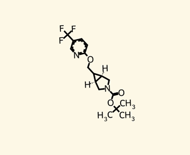 CC(C)(C)OC(=O)N1C[C@@H]2C(COc3ccc(C(F)(F)F)cn3)[C@@H]2C1